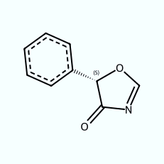 O=C1N=CO[C@H]1c1ccccc1